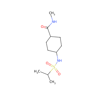 CNC(=O)C1CCC(NS(=O)(=O)C(C)C)CC1